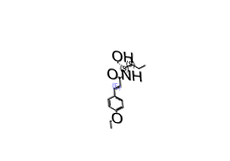 CCOc1ccc(/C=C/C(=O)N[C@H](CO)[C@@H](C)CC)cc1